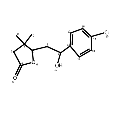 CC1(C)CC(=O)OC1CC(O)c1ccc(Cl)cc1